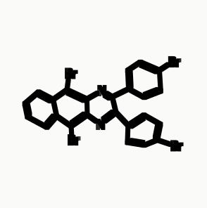 Brc1ccc(-c2nc3c(Br)c4ccccc4c(Br)c3nc2-c2ccc(Br)cc2)cc1